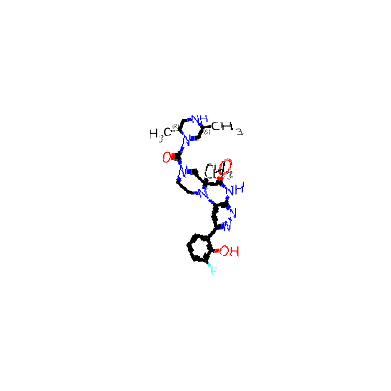 C[C@@H]1CN[C@@H](C)CN1C(=O)N1CCN2c3cc(-c4cccc(F)c4O)nnc3NC(=O)C2(C)C1